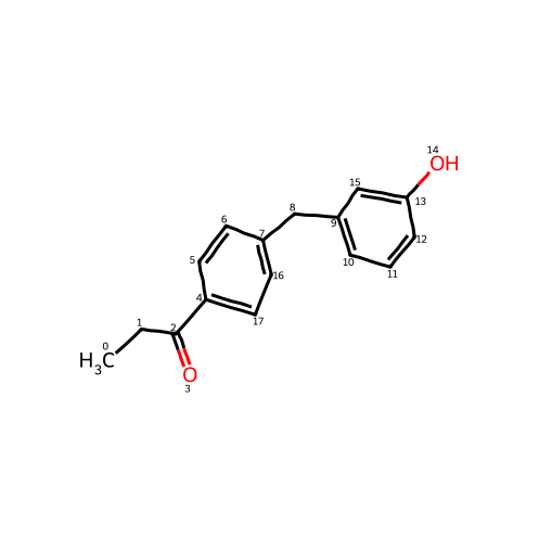 CCC(=O)c1ccc(Cc2cccc(O)c2)cc1